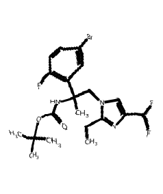 CCc1nc(C(F)F)cn1CC(C)(NC(=O)OC(C)(C)C)c1cc(Br)ccc1F